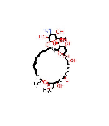 CCC1C(=O)O[C@H](C)C/C=C/C=C/C=C/C=C/[C@H](O[C@@H]2O[C@H](C)[C@@H](O)[C@H](N)[C@@H]2O)C[C@@H]2O[C@](O)(C[C@@H](O)CCCC(=O)C[C@H]1O)C[C@H](O)[C@H]2C(=O)O